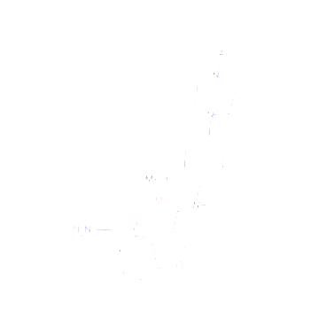 COc1cc(N2CCN(C(C)=O)CC2)ccc1NC(=O)c1coc2c1C(=O)C(C)(CN)CC2